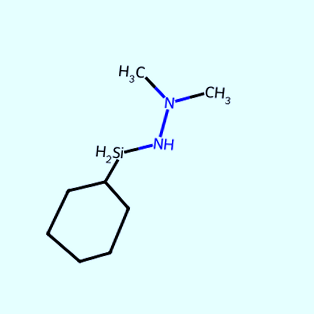 CN(C)N[SiH2]C1CCCCC1